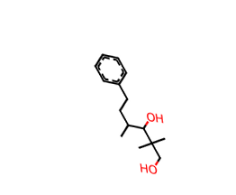 CC(CCc1ccccc1)C(O)C(C)(C)CO